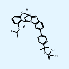 CC(C)(OP(=O)(O)O)c1ncc(-c2ccc3nc4n(c3c2)[C@@H]2C[C@H]4Oc3cccc(OC(F)F)c32)cn1